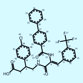 O=C(O)CC(CNC(=O)C(=Cc1cccc(C(F)(F)F)c1)NC(=O)c1ccc(-c2ccccc2)cc1)c1ccc(Cl)cc1